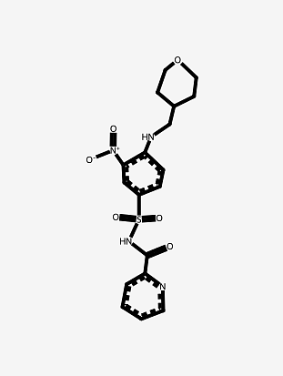 O=C(NS(=O)(=O)c1ccc(NCC2CCOCC2)c([N+](=O)[O-])c1)c1ccccn1